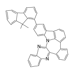 CC1(C)c2ccccc2-c2cccc(-c3ccc4c(c3)c3cccc5c3n4-c3nc4ccccc4nc3-c3ccccc3-5)c21